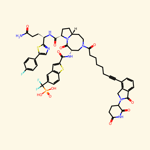 NC(=O)CC[C@H](NC(=O)[C@@H]1CC[C@@H]2CCN(C(=O)CCCCCC#Cc3cccc4c3CN(C3CCC(=O)NC3=O)C4=O)C[C@H](NC(=O)c3cc4cc(C(F)(F)P(=O)(O)O)ccc4s3)C(=O)N21)c1ncc(-c2ccc(F)cc2)s1